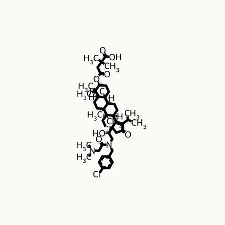 CC(C)C1=C2[C@H]3CC[C@@H]4[C@@]5(C)CC[C@H](OC(=O)CC(C)(C)C(=O)O)C(C)(C)[C@@H]5CC[C@@]4(C)[C@]3(C)CC[C@@]2([C@@H](O)CN(Cc2ccc(Cl)cc2)C(=O)CN(C)C)CC1=O